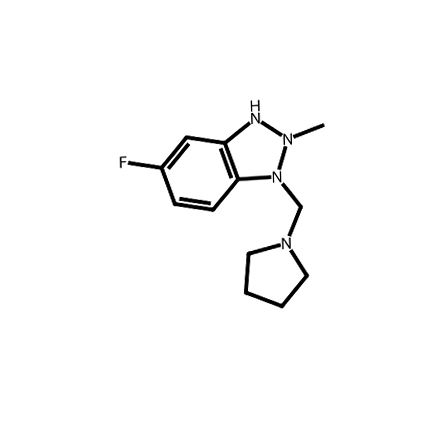 CN1Nc2cc(F)ccc2N1CN1CCCC1